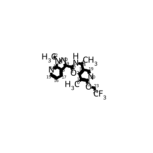 Cc1cc(C(C)NC(=O)c2nn(C)c3ncccc23)cnc1OCC(F)(F)F